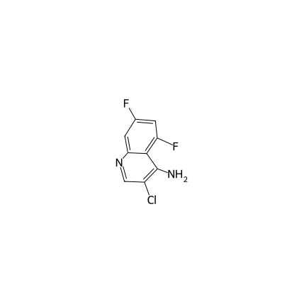 Nc1c(Cl)cnc2cc(F)cc(F)c12